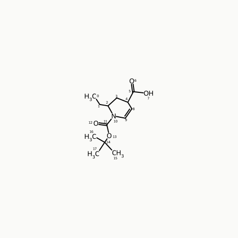 CCC1CC(C(=O)O)C=CN1C(=O)OC(C)(C)C